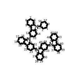 c1ccc(-n2c3ccccc3c3cc(-n4c5ccccc5c5ccc(-n6c7ccccc7c7cc(-n8c9ccccc9c9ccccc98)ccc76)cc54)ccc32)cc1